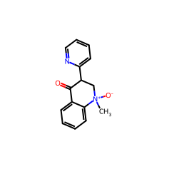 C[N+]1([O-])CC(c2ccccn2)C(=O)c2ccccc21